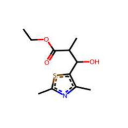 CCOC(=O)C(C)C(O)c1sc(C)nc1C